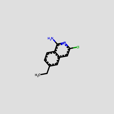 CCc1ccc2c(N)nc(Cl)cc2c1